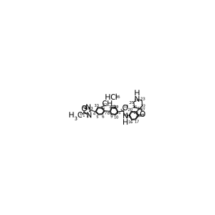 Cc1nc(-c2ccc(-c3ccc(C(=O)Nc4ccc5c(c4)C4(CCNCC4)CO5)cc3)c(C)c2)no1.Cl